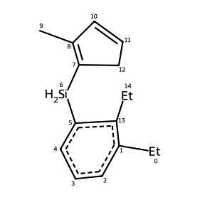 CCc1cccc([SiH2]C2=C(C)C=CC2)c1CC